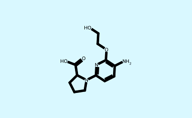 Nc1ccc(N2CCCC2C(=O)O)nc1OCCO